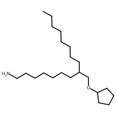 CCCCCCCCC(CCCCCCCN)COC1CCCC1